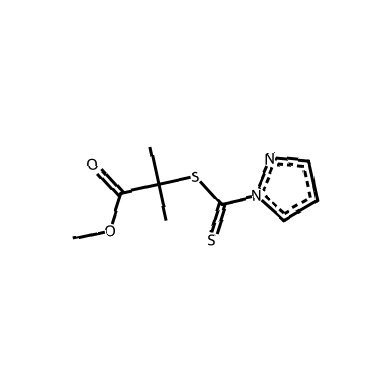 COC(=O)C(C)(C)SC(=S)n1cccn1